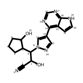 N#CC(O)C(C1CCCC1O)n1cc(-c2ncnc3[nH]ccc23)cn1